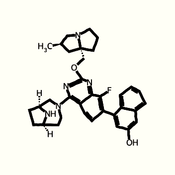 C[C@H]1CN2CCC[C@@]2(COc2nc(N3CC[C@H]4CC[C@@H](C3)N4)c3ccc(-c4cc(O)cc5ccccc45)c(F)c3n2)C1